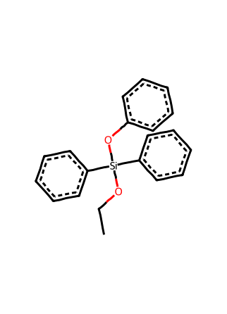 CCO[Si](Oc1ccccc1)(c1ccccc1)c1ccccc1